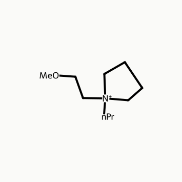 CCC[N+]1(CCOC)CCCC1